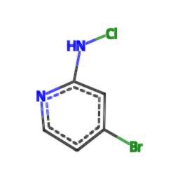 ClNc1cc(Br)ccn1